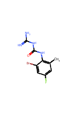 Cc1cc(F)cc(Br)c1NC(=O)NC(=N)N